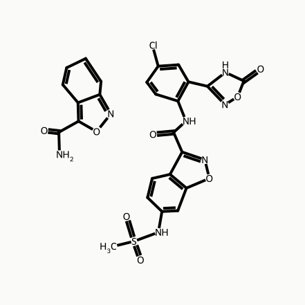 CS(=O)(=O)Nc1ccc2c(C(=O)Nc3ccc(Cl)cc3-c3noc(=O)[nH]3)noc2c1.NC(=O)c1onc2ccccc12